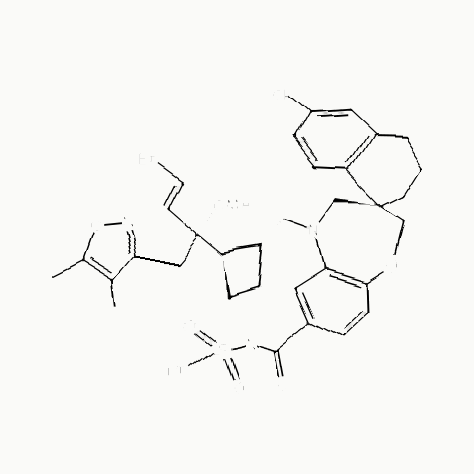 CC/C=C/[C@@](Cc1noc(C)c1C)(OC)[C@@H]1CC[C@H]1CN1C[C@@]2(CCCc3cc(Cl)ccc32)COc2ccc(C(=O)NS(=O)(=O)C(C)C)cc21